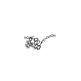 N#Cc1cccc(Cn2c(Cn3nc(-c4cccc(O)c4)c4c(N)ncnc43)nc3cccc(C#CCOCCOCCO)c3c2=O)c1